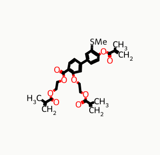 C=C(C)C(=O)OCCOC(=O)c1ccc(-c2ccc(OC(=O)C(=C)C)c(SC)c2)cc1OCCOC(=O)C(=C)C